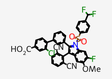 COc1cc2c(-c3c(C#N)cccc3C#N)c(-c3cccc(-c4ccc(C(=O)O)cc4Cl)c3)n(S(=O)(=O)c3ccc(C(F)F)cc3)c2cc1F